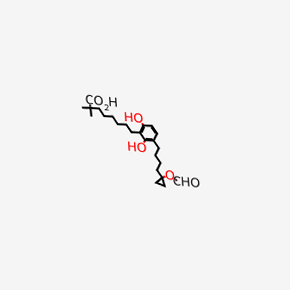 CC(C)(CCCCCCc1c(O)ccc(CCCCC2(OC=O)CC2)c1O)C(=O)O